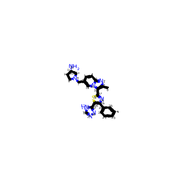 Cc1nc2ccc(CN3CC[C@H](N)C3)cn2c1-c1nc(-c2ccccc2)c(-c2nnc[nH]2)s1